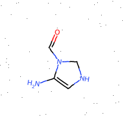 NC1=CNCN1C=O